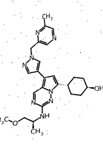 COC[C@H](C)Nc1ncc2c(-c3cnn(Cc4cncc(C)n4)c3)cc([C@H]3CC[C@H](O)CC3)n2n1